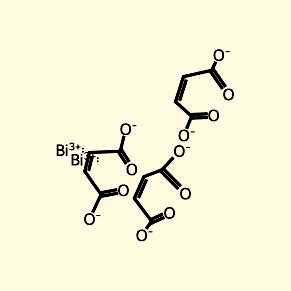 O=C([O-])/C=C\C(=O)[O-].O=C([O-])/C=C\C(=O)[O-].O=C([O-])/C=C\C(=O)[O-].[Bi+3].[Bi+3]